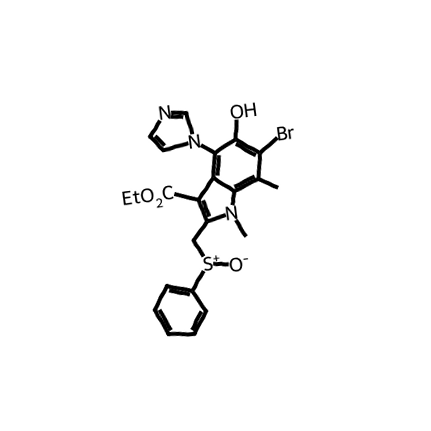 CCOC(=O)c1c(C[S+]([O-])c2ccccc2)n(C)c2c(C)c(Br)c(O)c(-n3ccnc3)c12